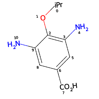 CC(C)Oc1c(N)cc(C(=O)O)cc1N